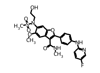 CNC(=O)c1c(-c2ccc(Nc3ccc(F)cn3)cc2)oc2cc(N(CCO)S(C)(=O)=O)c(OC)cc12